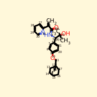 C=C(C(=O)N[C@H](c1ccc(OCC23CCC(CC2)CC3)cc1)C(C)(C)O)c1ccccn1